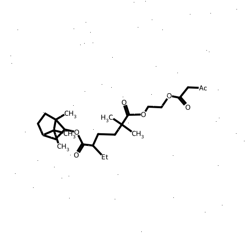 CCC(CCC(C)(C)C(=O)OCCOC(=O)CC(C)=O)C(=O)OC1CC2CCC1(C)C2(C)C